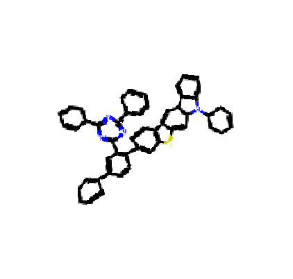 C1=CCC(c2nc(-c3cc(C4=CCCC=C4)ccc3-c3ccc4c5c(sc4c3)=CC3C(C=5)c4ccccc4N3C3CC=CCC3)nc(C3C=CC=CC3)n2)C=C1